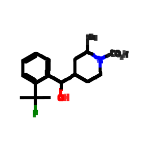 CC(C)(F)c1ccccc1C(O)C1CCN(C(=O)O)C(C(C)(C)C)C1